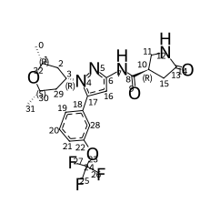 C[C@@H]1C[C@H](n2nc(NC(=O)[C@H]3CNC(=O)C3)cc2-c2cccc(OC(F)(F)F)c2)C[C@H](C)O1